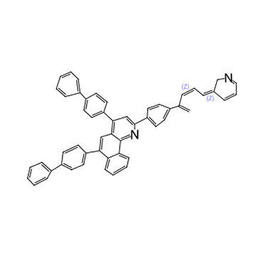 C=C(/C=C\C=C1\C=CC=NC1)c1ccc(-c2cc(-c3ccc(-c4ccccc4)cc3)c3cc(-c4ccc(-c5ccccc5)cc4)c4ccccc4c3n2)cc1